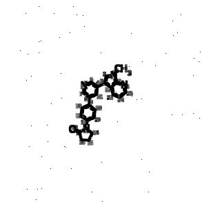 Cn1cc(-c2cncc(-c3ccc(N4CCCC4=O)cc3)c2)c2cccnc21